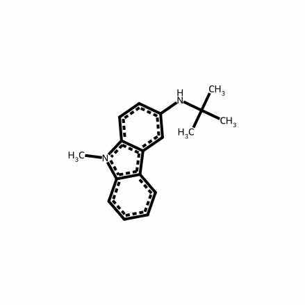 Cn1c2ccccc2c2cc(NC(C)(C)C)ccc21